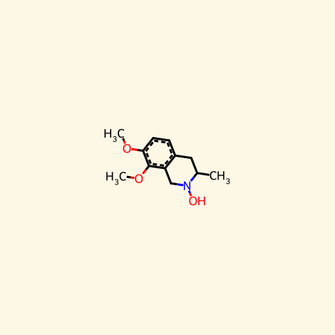 COc1ccc2c(c1OC)CN(O)C(C)C2